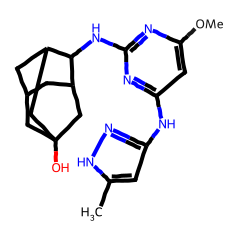 COc1cc(Nc2cc(C)[nH]n2)nc(NC2C3CC4CC2CC(O)(C4)C3)n1